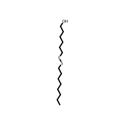 CCCCCCCCSSCCCCCCO